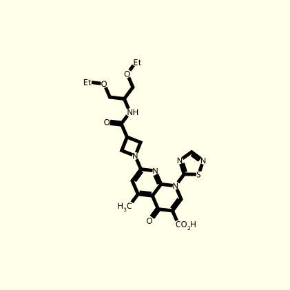 CCOCC(COCC)NC(=O)C1CN(c2cc(C)c3c(=O)c(C(=O)O)cn(-c4ncns4)c3n2)C1